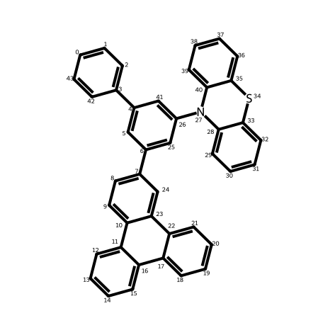 c1ccc(-c2cc(-c3ccc4c5ccccc5c5ccccc5c4c3)cc(N3c4ccccc4Sc4ccccc43)c2)cc1